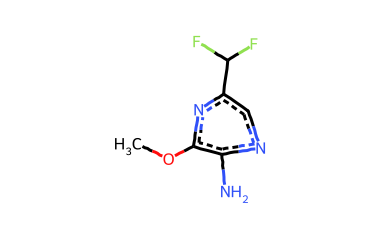 COc1nc(C(F)F)cnc1N